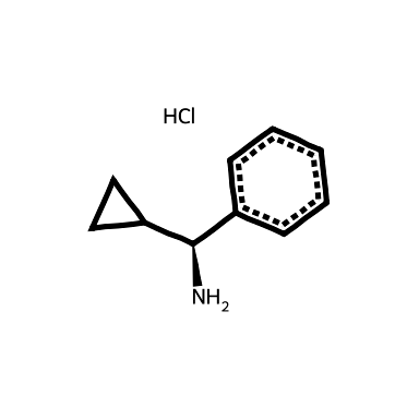 Cl.N[C@H](c1ccccc1)C1CC1